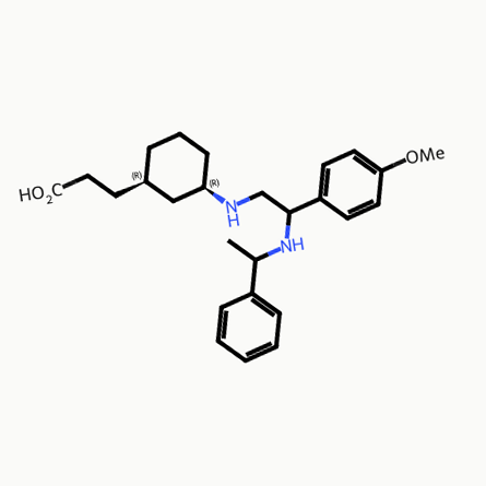 COc1ccc(C(CN[C@@H]2CCC[C@H](CCC(=O)O)C2)NC(C)c2ccccc2)cc1